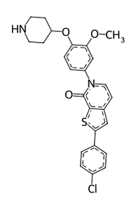 COc1cc(-n2ccc3cc(-c4ccc(Cl)cc4)sc3c2=O)ccc1OC1CCNCC1